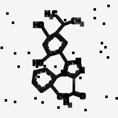 CC(C)c1cc(-c2nnc(C(N)=O)n2-c2ccccc2O)c(O)cc1O